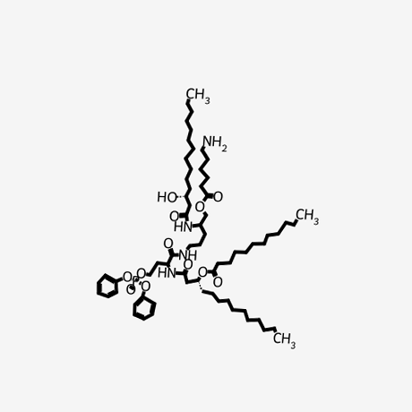 CCCCCCCCCCCC(=O)O[C@H](CCCCCCCCCCC)CC(=O)NC(CCOP(=O)(Oc1ccccc1)Oc1ccccc1)C(=O)NCCCC(COC(=O)CCCCCN)NC(=O)C[C@H](O)CCCCCCCCCCC